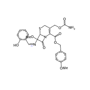 COc1ccc(COC(=O)C2=C(COC(N)=O)CSC3N2C(=O)C3(/N=C\c2ccccc2O)OC)cc1